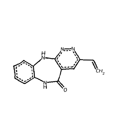 C=Cc1cc2c(nn1)Nc1ccccc1NC2=O